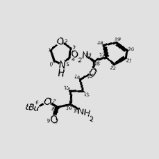 C1COCCN1.CC(C)(C)OC(=O)C(N)CCCOC(c1ccccc1)[N+](=O)[O-]